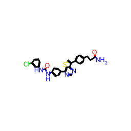 NC(=O)CCc1ccc(-c2csc3c(-c4ccc(NC(=O)Nc5cccc(Cl)c5)cc4)ncnc23)cc1